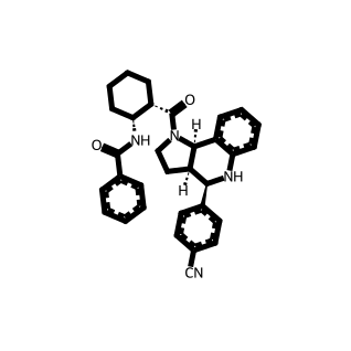 N#Cc1ccc([C@@H]2Nc3ccccc3[C@H]3[C@@H]2CCN3C(=O)[C@H]2CCCC[C@H]2NC(=O)c2ccccc2)cc1